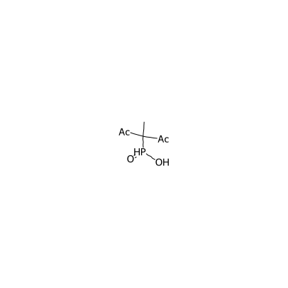 CC(=O)C(C)(C(C)=O)[PH](=O)O